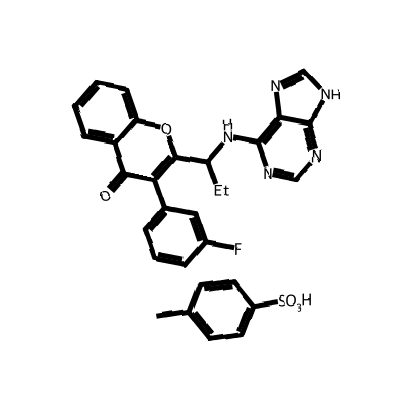 CCC(Nc1ncnc2[nH]cnc12)c1oc2ccccc2c(=O)c1-c1cccc(F)c1.Cc1ccc(S(=O)(=O)O)cc1